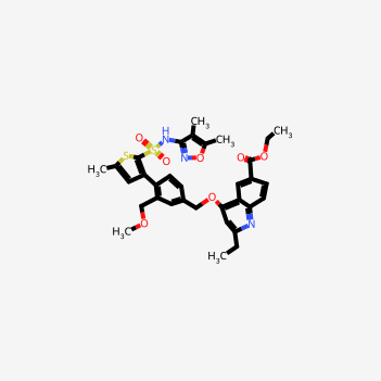 CCOC(=O)c1ccc2nc(CC)cc(OCc3ccc(-c4cc(C)sc4S(=O)(=O)Nc4noc(C)c4C)c(COC)c3)c2c1